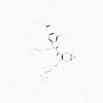 CNC(=O)Oc1cc(F)c2nc(-c3nn(COCC[Si](C)(C)C)c4c3C[C@@H]3C[C@]3(C)C4)n(COCC[Si](C)(C)C)c2c1